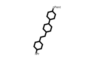 CCCCCC1CCC(C2CCC(CCC3CCC(CCC)CC3)CC2)CC1